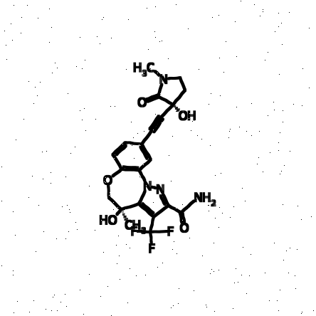 CN1CC[C@@](O)(C#Cc2ccc3c(c2)-n2nc(C(N)=O)c(C(F)(F)F)c2[C@@](C)(O)CO3)C1=O